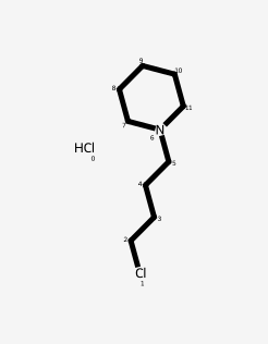 Cl.ClCCCCN1CCCCC1